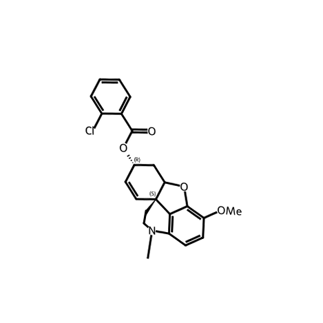 COc1ccc2c3c1OC1C[C@@H](OC(=O)c4ccccc4Cl)C=C[C@@]31CCN2C